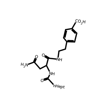 CCCCCCCC(=O)NC(CC(N)=O)C(=O)NCCc1ccc(C(=O)O)cc1